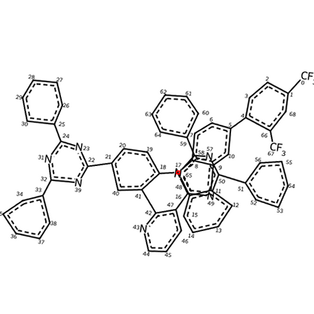 FC(F)(F)c1ccc(-c2ccc3c(c2)c2ccccc2n3-c2ccc(-c3nc(-c4ccccc4)nc(-c4ccccc4)n3)cc2-c2ncccc2-c2nc(-c3ccccc3)nc(-c3ccccc3)n2)c(C(F)(F)F)c1